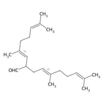 CC(C)=CCC/C(C)=C/CC(C=O)/C=C(\C)CCC=C(C)C